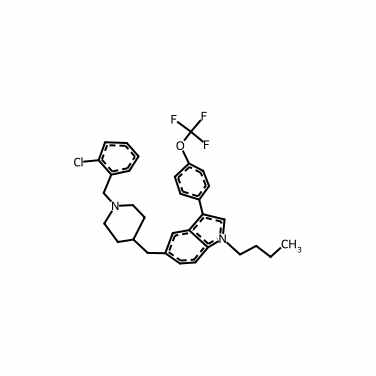 CCCCn1cc(-c2ccc(OC(F)(F)F)cc2)c2cc(CC3CCN(Cc4ccccc4Cl)CC3)ccc21